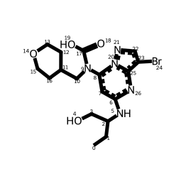 CCC(CO)Nc1cc(N(CC2CCOCC2)C(=O)O)n2ncc(Br)c2n1